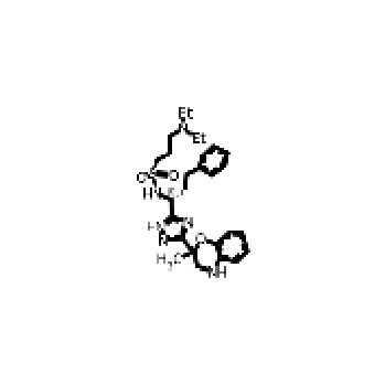 CCN(CC)CCCS(=O)(=O)N[C@H](CCc1ccccc1)c1nc(C2(C)CNc3ccccc3O2)n[nH]1